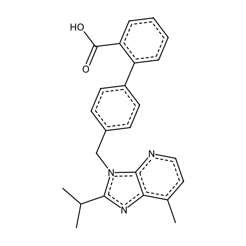 Cc1ccnc2c1nc(C(C)C)n2Cc1ccc(-c2ccccc2C(=O)O)cc1